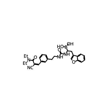 CCN(CC)C(=O)C(C#N)=Cc1cccc(CCNC(=O)NC(Cc2coc3ccccc23)B(O)O)c1